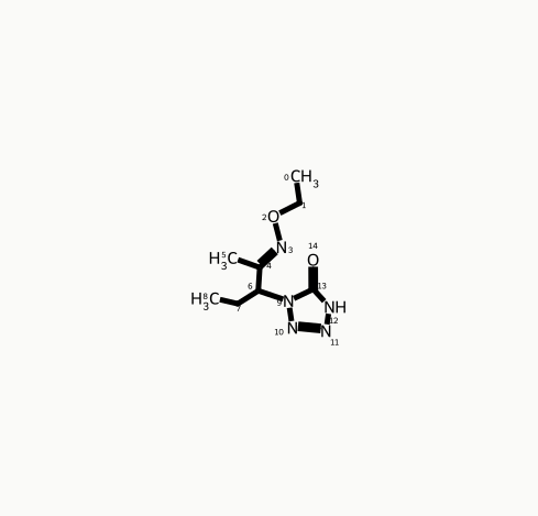 CCON=C(C)C(CC)n1nn[nH]c1=O